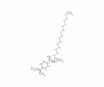 CCCCCCCCCCCCCCCCC(C)NC(=O)c1ccc(N(C)C)cc1